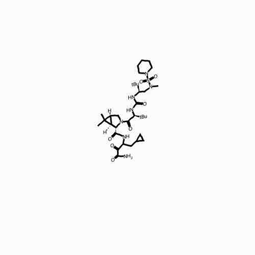 CN(C[C@@H](NC(=O)N[C@H](C(=O)N1C[C@H]2[C@@H]([C@H]1C(=O)NC(CC1CC1)C(=O)C(N)=O)C2(C)C)C(C)(C)C)C(C)(C)C)S(=O)(=O)N1CCCCC1